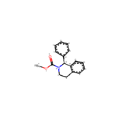 CCCCOC(=O)N1CCc2ccccc2[C@@H]1c1ccccc1